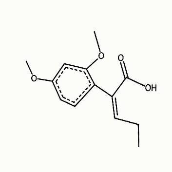 CCC=C(C(=O)O)c1ccc(OC)cc1OC